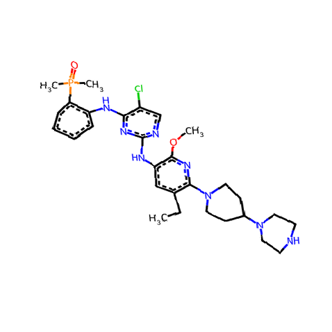 CCc1cc(Nc2ncc(Cl)c(Nc3ccccc3P(C)(C)=O)n2)c(OC)nc1N1CCC(N2CCNCC2)CC1